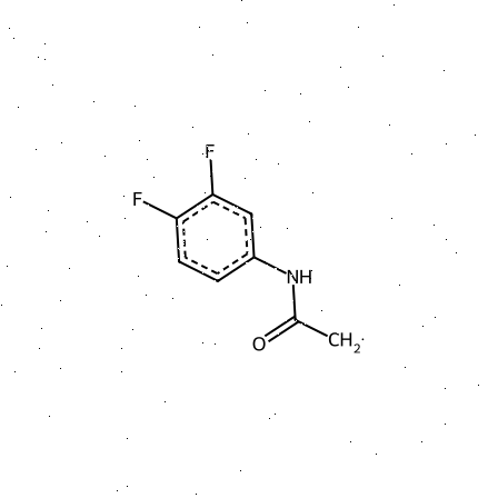 [CH2]C(=O)Nc1ccc(F)c(F)c1